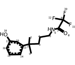 CC(C)(CCCNC(=O)C(F)(F)F)c1cccc(O)c1